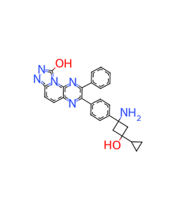 NC1(c2ccc(-c3nc4ccc5nnc(O)n5c4nc3-c3ccccc3)cc2)CC(O)(C2CC2)C1